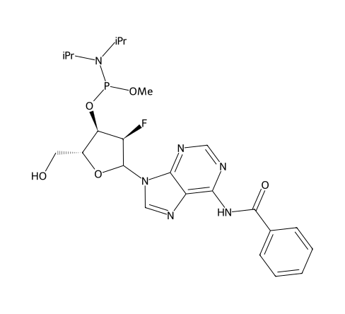 COP(O[C@@H]1[C@@H](CO)OC(n2cnc3c(NC(=O)c4ccccc4)ncnc32)[C@@H]1F)N(C(C)C)C(C)C